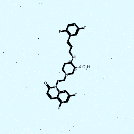 O=C(O)[C@@H]1CN(CCn2c(=O)ccc3c(F)cc(F)cc32)CC[C@H]1NCC=Cc1cc(F)ccc1F